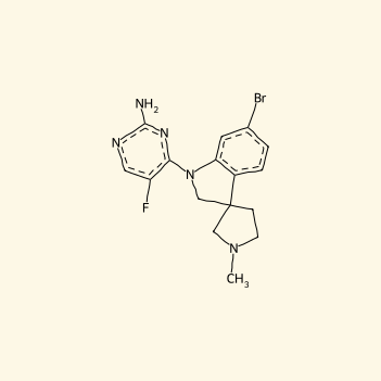 CN1CCC2(C1)CN(c1nc(N)ncc1F)c1cc(Br)ccc12